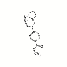 COC(=O)c1ccc(C(CN2CCCC2)N=[N+]=[N-])cc1